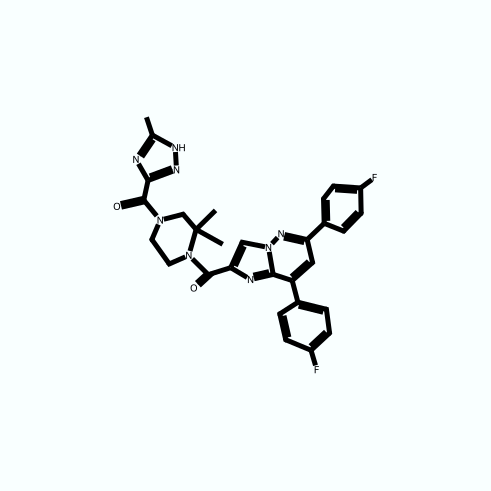 Cc1nc(C(=O)N2CCN(C(=O)c3cn4nc(-c5ccc(F)cc5)cc(-c5ccc(F)cc5)c4n3)C(C)(C)C2)n[nH]1